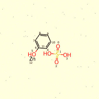 O=S(=O)(O)O.Oc1ccccc1.[Zn]